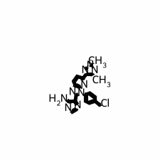 Cc1nn(C)nc1-c1ccc2nc(-c3nccnc3N)n(-c3ccc(CCl)cc3)c2n1